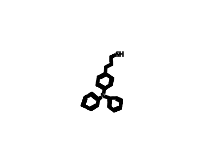 SCCCc1ccc(N(c2ccccc2)c2ccccc2)cc1